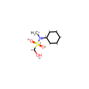 CN(C1CCCCC1)S(=O)(=O)CO